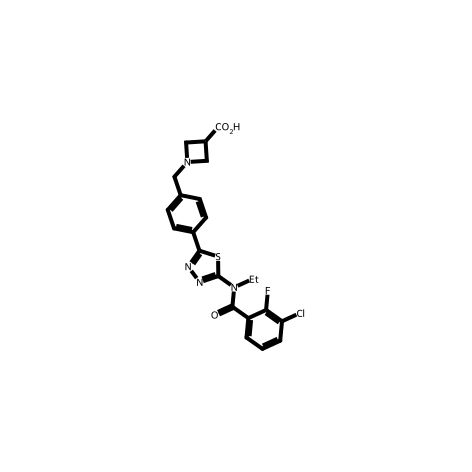 CCN(C(=O)c1cccc(Cl)c1F)c1nnc(-c2ccc(CN3CC(C(=O)O)C3)cc2)s1